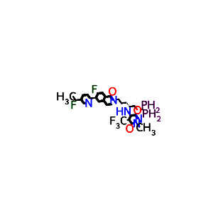 CC(F)c1ccc(-c2cc3ccn(CCC[C@H](COC(P)P)Nc4cnn(C)c(=O)c4C(F)(F)F)c(=O)c3cc2F)nc1